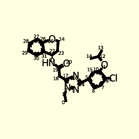 CCn1nc(-c2ccc(Cl)c(OC(C)C)c2)nc1CC(=O)N[C@H]1CCOc2ccccc21